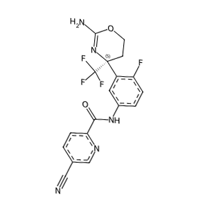 N#Cc1ccc(C(=O)Nc2ccc(F)c([C@]3(C(F)(F)F)CCOC(N)=N3)c2)nc1